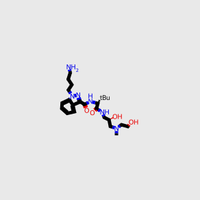 CN(CCO)C[C@@H](O)CNC(=O)[C@@H](NC(=O)c1nn(CCCCN)c2ccccc12)C(C)(C)C